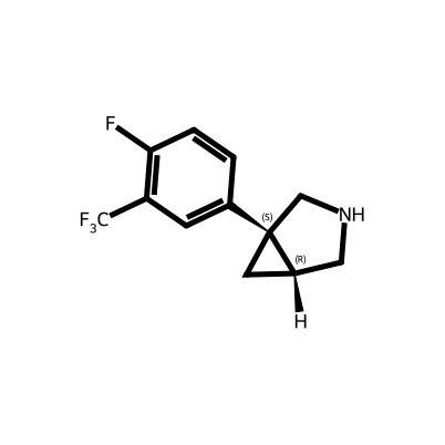 Fc1ccc([C@@]23CNC[C@@H]2C3)cc1C(F)(F)F